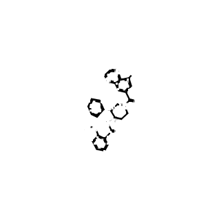 O=C(N[C@@H]1CCN(C(=O)c2cc(Cl)c3nccnc3c2)C[C@@H]1c1ccccc1)c1ccccc1OC(F)(F)F